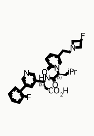 CC(C)C[C@@H](C(=O)N[C@@H](CC(=O)O)c1cncc(-c2ccccc2F)c1)n1cc(CCN2CC(F)C2)ccc1=O